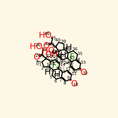 C[C@@H]1C[C@H]2[C@@H]3CCC4=CC(=O)C=C[C@]4(C)[C@@]3(F)C=C[C@]2(C)[C@@]1(O)C(=O)CO.C[C@]12C=CC(=O)C=C1CC[C@H]1[C@@H]3CC[C@](O)(C(=O)CO)[C@@]3(C)C=C[C@@]12F